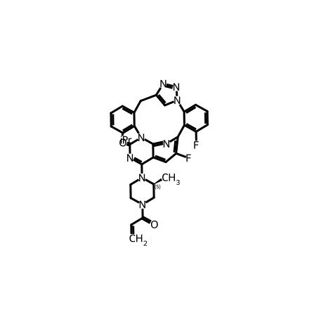 C=CC(=O)N1CCN(c2nc(=O)n3c4nc(c(F)cc24)-c2c(F)cccc2-n2cc(nn2)Cc2cccc(C(C)C)c2-3)[C@@H](C)C1